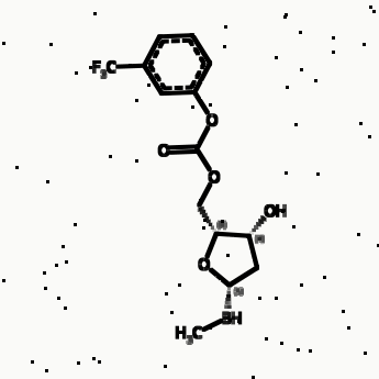 CB[C@H]1C[C@@H](O)[C@@H](COC(=O)Oc2cccc(C(F)(F)F)c2)O1